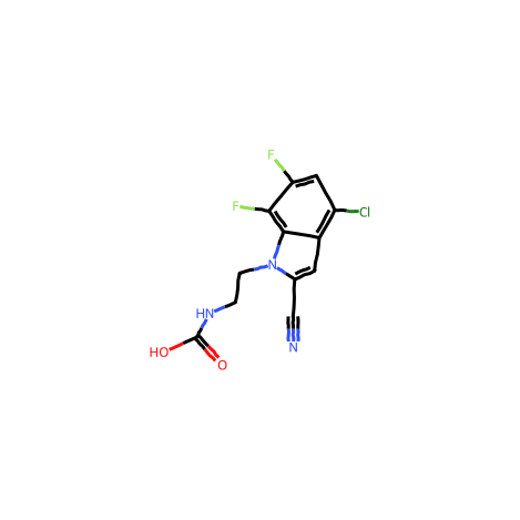 N#Cc1cc2c(Cl)cc(F)c(F)c2n1CCNC(=O)O